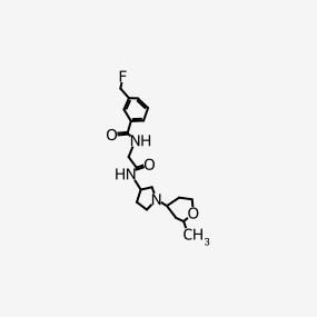 CC1CC(N2CCC(NC(=O)CNC(=O)c3cccc(CF)c3)C2)CCO1